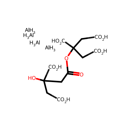 O=C(O)CC(O)(CC(=O)OC(CC(=O)O)(CC(=O)O)C(=O)O)C(=O)O.[AlH3].[AlH3].[AlH3].[AlH3]